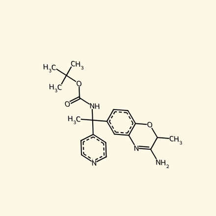 CC1Oc2ccc(C(C)(NC(=O)OC(C)(C)C)c3ccncc3)cc2N=C1N